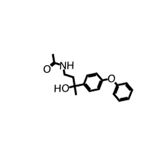 CC(=O)NCCC(C)(O)c1ccc(Oc2ccccc2)cc1